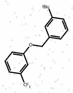 CC(C)(C)c1cccc(COc2cccc(C(F)(F)F)c2)c1